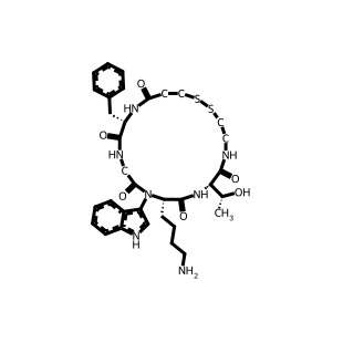 C[C@@H](O)[C@@H]1NC(=O)[C@H](CCCCN)N(c2c[nH]c3ccccc23)C(=O)CNC(=O)[C@H](Cc2ccccc2)NC(=O)CCSSCCNC1=O